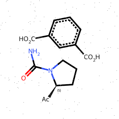 CC(=O)[C@@H]1CCCN1C(N)=O.O=C(O)c1cccc(C(=O)O)c1